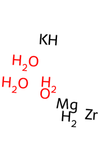 O.O.O.[KH].[MgH2].[Zr]